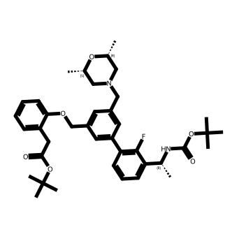 C[C@@H]1CN(Cc2cc(COc3ccccc3CC(=O)OC(C)(C)C)cc(-c3cccc([C@@H](C)NC(=O)OC(C)(C)C)c3F)c2)C[C@H](C)O1